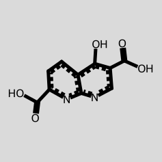 O=C(O)c1ccc2c(O)c(C(=O)O)cnc2n1